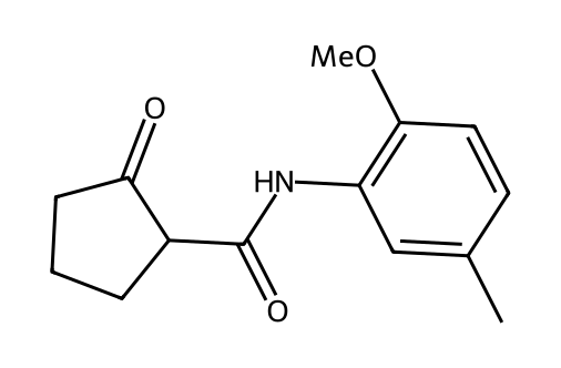 COc1ccc(C)cc1NC(=O)C1CCCC1=O